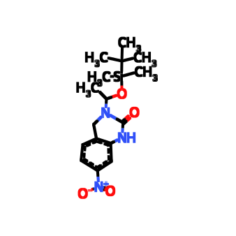 CC(O[Si](C)(C)C(C)(C)C)N1Cc2ccc([N+](=O)[O-])cc2NC1=O